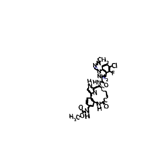 C=N/N=C\N(N)c1ccc(Cl)c(F)c1/C=C/C(=O)N[C@H]1CCCCC(=O)Nc2cc(NC(=O)OC)ccc2-c2c[nH]c1n2